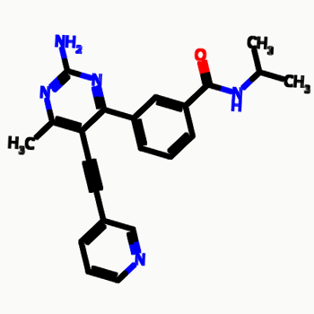 Cc1nc(N)nc(-c2cccc(C(=O)NC(C)C)c2)c1C#Cc1cccnc1